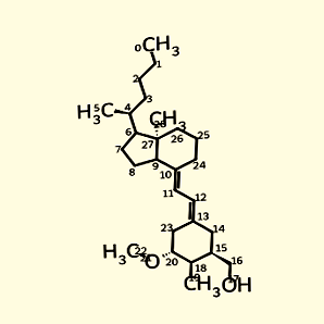 CCCC[C@H](C)C1CCC2/C(=C/C=C3/C[C@@H](CO)C(C)[C@H](OC)C3)CCC[C@@]21C